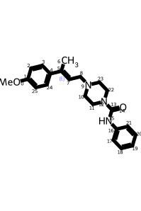 COc1ccc(/C(C)=C/CN2CCN(C(=O)Nc3ccccc3)CC2)cc1